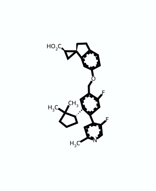 Cc1cc(-c2cc(F)c(COc3ccc4c(c3)[C@]3(CC4)C[C@H]3C(=O)O)cc2[C@@H]2CCCC2(C)C)c(F)cn1